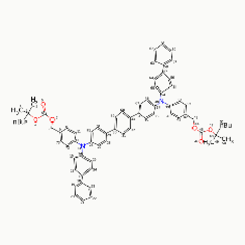 CCCCC(C)(C)OC(=O)OCc1ccc(N(c2ccc(-c3ccccc3)cc2)c2ccc(-c3ccc(-c4ccc(N(c5ccc(COC(=O)OC(C)(C)CCCC)cc5)c5ccc(-c6ccccc6)cc5)cc4)cc3)cc2)cc1